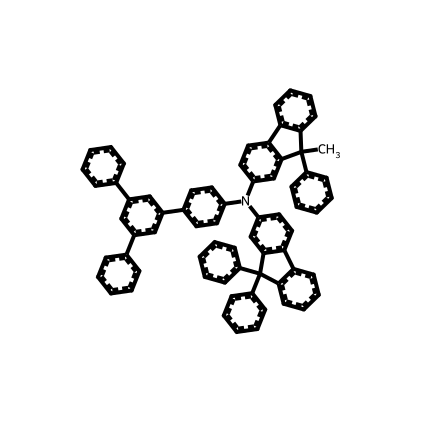 CC1(c2ccccc2)c2ccccc2-c2ccc(N(c3ccc(-c4cc(-c5ccccc5)cc(-c5ccccc5)c4)cc3)c3ccc4c(c3)C(c3ccccc3)(c3ccccc3)c3ccccc3-4)cc21